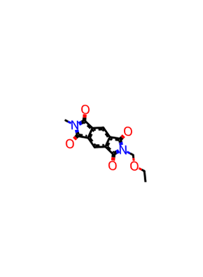 CCOCn1c(=O)c2cc3c(=O)n(C)c(=O)c3cc2c1=O